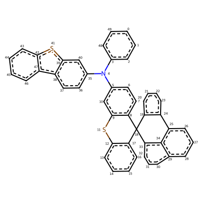 c1ccc(N(c2ccc3c(c2)Sc2ccccc2C32c3ccccc3-c3cccc4cccc2c34)c2ccc3c(c2)sc2ccccc23)cc1